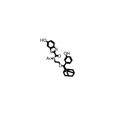 CC(=O)N(CCOC(=C1C2CC3CC(C2)CC1C3)c1cccc(O)c1)C(=O)c1nc2ccc(O)cc2s1